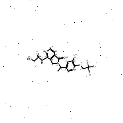 CC(c1cnc(OCC(F)(F)F)c(Cl)c1)N1Cc2c(ccnc2NC(=O)CO)C1=O